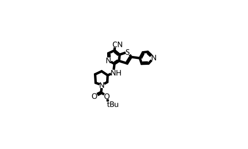 CC(C)(C)OC(=O)N1CCCC(Nc2ncc(C#N)c3sc(-c4ccncc4)cc23)C1